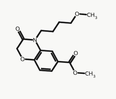 COCCCCN1C(=O)COc2ccc(C(=O)OC)cc21